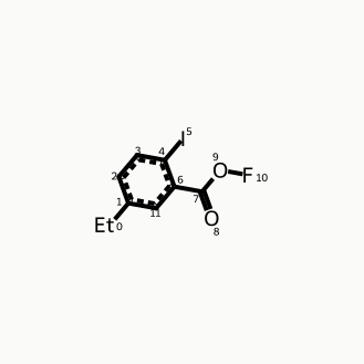 CCc1ccc(I)c(C(=O)OF)c1